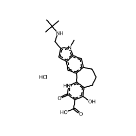 Cl.Cn1c(CNC(C)(C)C)cc2cc3c(cc21)CCCc1c-3[nH]c(=O)c(C(=O)O)c1O